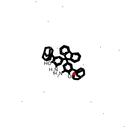 Nc1cc(C2(c3cc(N)c(O)c(C45CC6CC(CC(C6)C4)C5)c3)c3ccccc3-c3ccccc32)cc(C23CC4CC(CC(C4)C2)C3)c1O